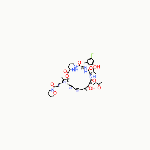 CC(=O)CC[C@H]1C(=O)N[C@@H](C(C)C)C(=O)N[C@@H](Cc2cc(O)cc(F)c2)C(=O)N2CCCC(N2)C(=O)O[C@H](/C(C)=C/C=C/C(=O)N2CCCCO2)C/C=C/C=C/C[C@H](C)[C@H]1O